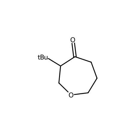 CC(C)(C)C1COCCCC1=O